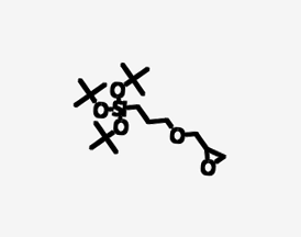 CC(C)(C)O[Si](CCCOCC1CO1)(OC(C)(C)C)OC(C)(C)C